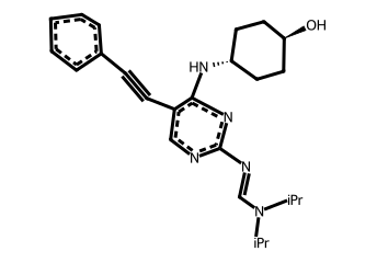 CC(C)N(C=Nc1ncc(C#Cc2ccccc2)c(N[C@H]2CC[C@H](O)CC2)n1)C(C)C